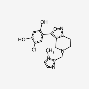 Cn1ccnc1CN1CCc2noc(-c3cc(Cl)c(O)cc3O)c2C1